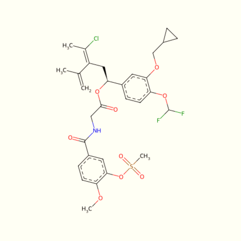 C=C(C)/C(C[C@H](OC(=O)CNC(=O)c1ccc(OC)c(OS(C)(=O)=O)c1)c1ccc(OC(F)F)c(OCC2CC2)c1)=C(\C)Cl